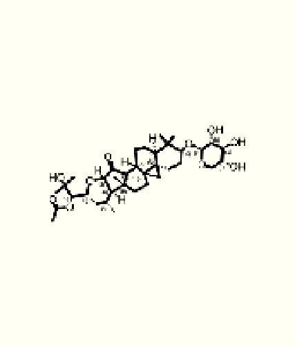 CC(=O)O[C@@H]([C@H]1C[C@@H](C)[C@H]2[C@H](O1)C(=O)[C@@]1(C)[C@@H]3CC[C@H]4C(C)(C)[C@@H](O[C@@H]5OC[C@@H](O)[C@H](O)[C@H]5O)CC[C@@]45C[C@@]35CC[C@]21C)C(C)(C)O